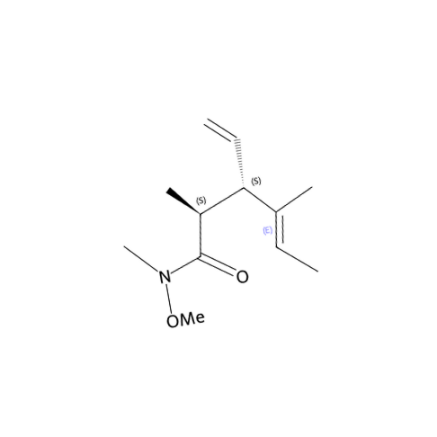 C=C[C@H](/C(C)=C/C)[C@H](C)C(=O)N(C)OC